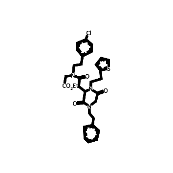 CCOC(=O)CN(CCc1ccc(Cl)cc1)C(=O)CC1C(=O)N(CCc2ccccc2)CC(=O)N1CCc1cccs1